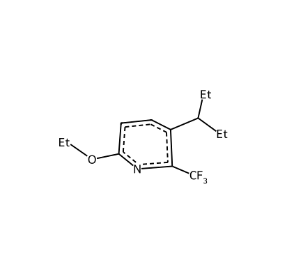 CCOc1ccc(C(CC)CC)c(C(F)(F)F)n1